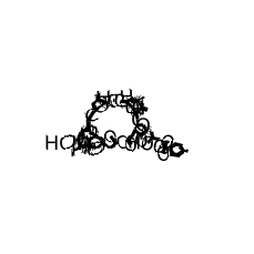 C=C1CC2CC[C@@]3(C)C[C@@H](O)C(C)[C@@H]4OC5CCC(CC(=O)CC6C(C[C@H]7O[C@@H](CC[C@@H]1O2)C[C@@H](C)C7=C)O[C@H](CC(O)COS(=O)(=O)c1ccc(C)cc1)[C@@H]6OC)OC5C(O3)C4I